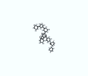 c1ccc(-c2cccc(-c3ccc(-c4nc(-c5cccc(-c6cccc(-c7ccccc7)c6)c5)nc5oc6ccccc6c45)cc3)c2)cc1